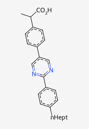 CCCCCCCc1ccc(-c2ncc(-c3ccc(C(C)C(=O)O)cc3)cn2)cc1